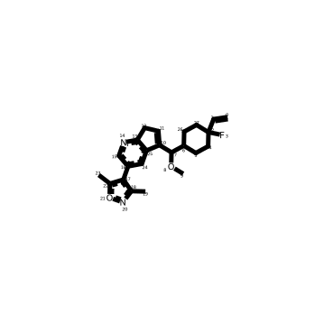 C=CC1(F)CCC(C(OC)C2=CCc3ncc(-c4c(C)noc4C)cc32)CC1